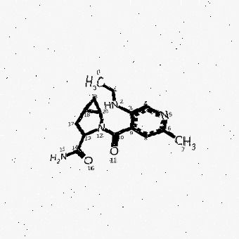 CCNc1cnc(C)cc1C(=O)N1C(C(N)=O)CC2CC21